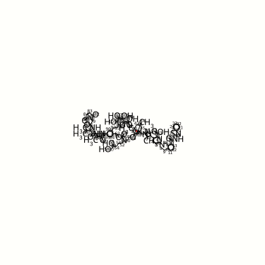 Cc1c(-c2ccc(N3CCc4cccc(C(=O)Nc5nc6ccccc6s5)c4C3)nc2C(=O)O)cnn1CC12CC3(C)CC(C)(C1)CC(OCCN(CCC[C@H](O)CO)C(=O)OCc1ccc(NC(=O)[C@H](C)NC(=O)[C@@H](NC(=O)CN4C(=O)C=CC4=O)C(C)C)cc1CC[C@@H]1O[C@H](C(=O)O)[C@@H](O)[C@H](O)[C@H]1O)(C3)C2